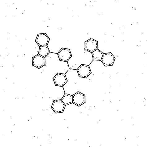 c1cc(N(c2cccc(-n3c4ccccc4c4cccnc43)c2)c2cccc(-n3c4ccccc4c4cccnc43)c2)cc(-n2c3ccccc3c3cccnc32)c1